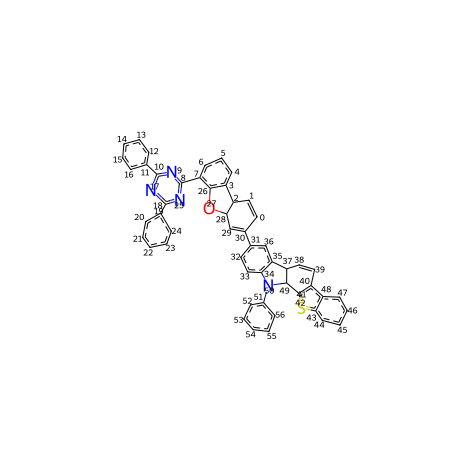 C1=CC2c3cccc(-c4nc(-c5ccccc5)nc(-c5ccccc5)n4)c3OC2C=C1c1ccc2c(c1)C1C=Cc3c(sc4ccccc34)C1N2c1ccccc1